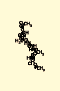 Cc1ccc(Oc2nc3cc(-c4ccc5c(ccn5C)c4)c(Cl)cc3[nH]2)cc1C(=O)NCCNC(=O)CNCc1ccc(-c2c3ncn(CC4(O)CCN(C(=O)C[C@@H](C)c5ccccc5)CC4)c(=O)c3nn2C)cc1